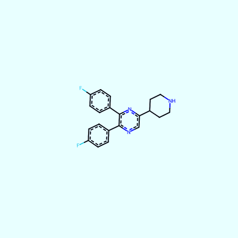 Fc1ccc(-c2ncc(C3CCNCC3)nc2-c2ccc(F)cc2)cc1